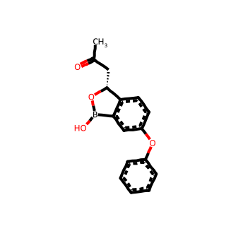 CC(=O)C[C@H]1OB(O)c2cc(Oc3ccccc3)ccc21